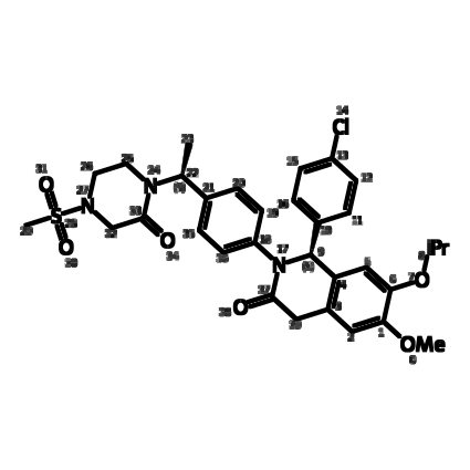 COc1cc2c(cc1OC(C)C)[C@H](c1ccc(Cl)cc1)N(c1ccc([C@H](C)N3CCN(S(C)(=O)=O)CC3=O)cc1)C(=O)C2